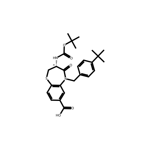 CC(C)(C)OC(=O)N[C@H]1CSc2ccc(C(=O)O)cc2N(Cc2ccc(C(C)(C)C)cc2)C1=O